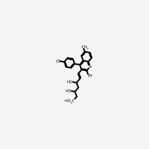 Cc1ccc2nc(C(C)C)c(/C=C/C(O)CC(O)CC(=O)O)c(-c3ccc(Cl)cc3)c2c1